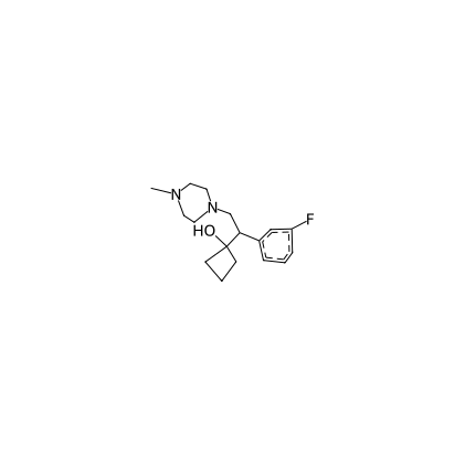 CN1CCN(CC(c2cccc(F)c2)C2(O)CCC2)CC1